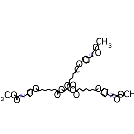 CCOC(=O)/C=C/c1ccc(OCCCCCCC(=O)OCC(COC(=O)CCCCCCOc2ccc(/C=C/C(=O)OCC)cc2)OC(=O)CCCCCCOc2ccc(/C=C/C(=O)OCC)cc2)cc1